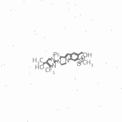 CC(C)[C@@H]1c2cc3cc(CO)c(S(C)(=O)=O)cc3n2CCN1c1ncc([C@@H](C)O)c(C(F)(F)F)n1